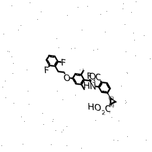 Cc1cc(OCCc2c(F)cccc2F)cc(C)c1C(=O)Nc1cc([C@H]2C[C@H]2C(=O)O)ccc1C(F)(F)F